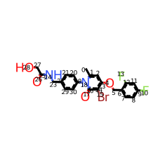 Cc1cc(OCc2ccc(F)cc2F)c(Br)c(=O)n1-c1ccc(CNC(=O)CO)cc1